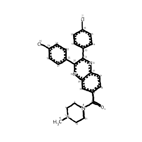 CN1CCN(C(=O)c2ccc3nc(-c4ccc(Cl)cc4)c(-c4ccc(Cl)cc4)nc3c2)CC1